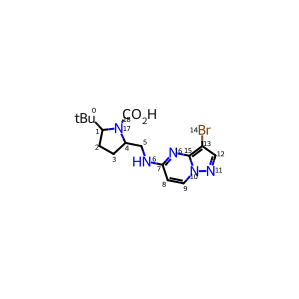 CC(C)(C)C1CCC(CNc2ccn3ncc(Br)c3n2)N1C(=O)O